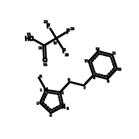 Cn1ccnc1CCc1ccccc1.O=C(O)C(F)(F)F